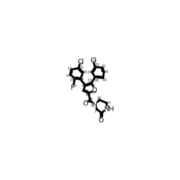 O=C1CN(C(=O)c2cc(-c3cc(Cl)ccc3F)c(-c3cccc(Cl)c3)o2)CCN1